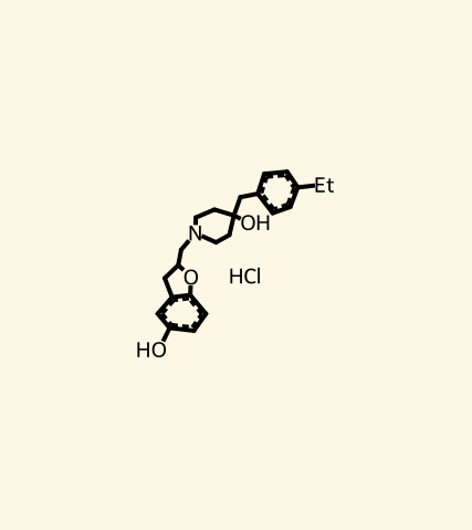 CCc1ccc(CC2(O)CCN(CC3Cc4cc(O)ccc4O3)CC2)cc1.Cl